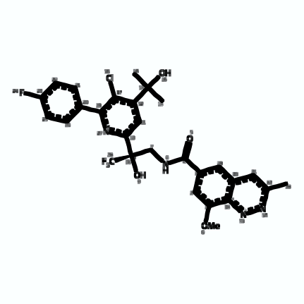 COc1cc(C(=O)NC[C@](O)(c2cc(C(C)(C)O)c(Cl)c(-c3ccc(F)cc3)n2)C(F)(F)F)cc2cc(C)nnc12